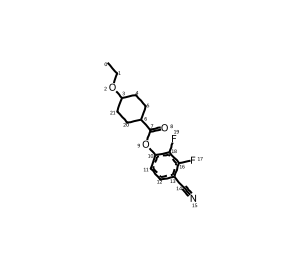 CCOC1CCC(C(=O)Oc2ccc(C#N)c(F)c2F)CC1